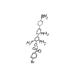 BC1CCC(c2ccc(-c3cc(P)c(OCS(=O)(=O)c4ccc(Br)cc4)c(P)c3)c(P)c2)CC1